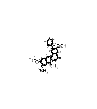 COc1cc2cc3c4cc(-c5ccccc5)c(OC)cc4cc[n+]3c(C)c2cc1OC